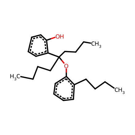 CCCCc1ccccc1OC(CCCC)(CCCC)c1ccccc1O